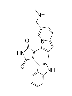 Cc1cc2ccc(CN(C)C)cn2c1C1=C(c2c[nH]c3ccccc23)C(=O)NC1=O